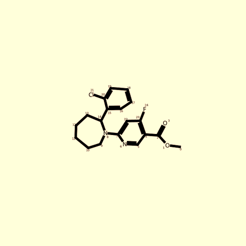 COC(=O)c1cnc(N2CCCCCC2c2ccccc2Cl)cc1F